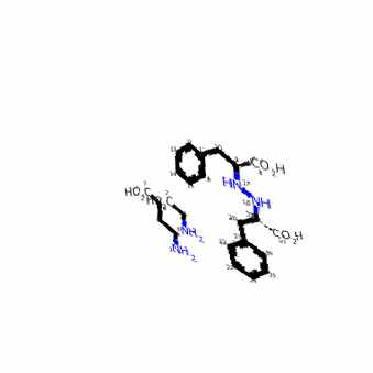 NCC(=O)O.NCCCC(=O)O.O=C(O)[C@H](Cc1ccccc1)NN[C@@H](Cc1ccccc1)C(=O)O